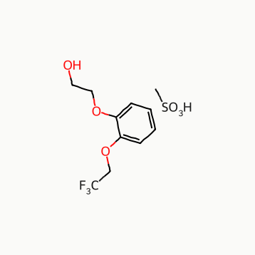 CS(=O)(=O)O.OCCOc1ccccc1OCC(F)(F)F